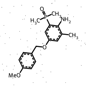 COc1ccc(COc2cc(C)c(N)c(P(C)(C)=O)c2)cc1